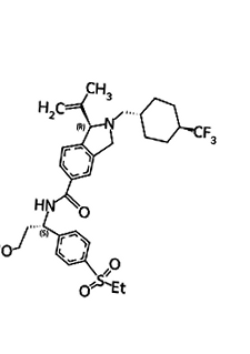 C=C(C)[C@@H]1c2ccc(C(=O)N[C@@H](CCO)c3ccc(S(=O)(=O)CC)cc3)cc2CN1C[C@H]1CC[C@H](C(F)(F)F)CC1